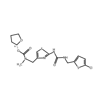 CN(Cc1csc(NC(=O)NCc2ccc(Cl)s2)n1)C(=O)O[C@@H]1CCCO1